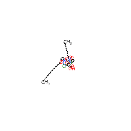 CCCCCCCCCCCCCCCCCCOc1ccccc1NC(=O)C(Oc1c(Cl)cc(C(=O)O)cc1Cl)C1=Nc2ccccc2S(=O)(=O)N1CCCCCCCCCCCCCC